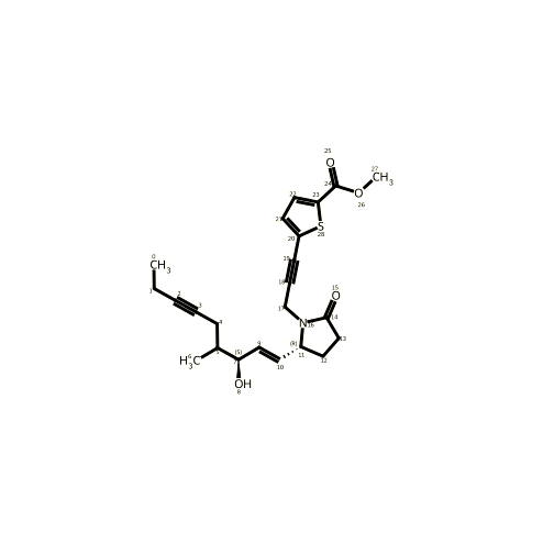 CCC#CCC(C)[C@H](O)C=C[C@H]1CCC(=O)N1CC#Cc1ccc(C(=O)OC)s1